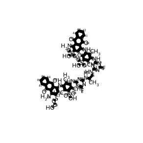 Cc1c(Nc2nc(F)nc(NC(C)CNc3nc(F)nc(Nc4c(C)c(Nc5cc(S(=O)(=O)O)c(N)c6c5C(=O)c5ccccc5C6=O)c(C)c(S(=O)(=O)O)c4C)n3)n2)c(C)c(S(=O)(=O)O)c(C)c1Nc1cc(SOOO)c(N)c2c1C(=O)c1ccccc1C2=O